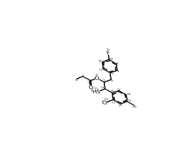 CCC(=O)OC(Cc1ccc(F)cc1)C(S)c1ccc(C)cc1Cl